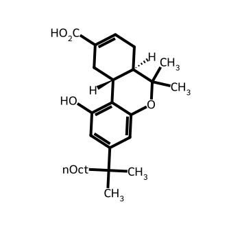 CCCCCCCCC(C)(C)c1cc(O)c2c(c1)OC(C)(C)[C@@H]1CC=C(C(=O)O)C[C@@H]21